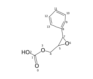 O=C(O)OCC1OC1c1ccccc1